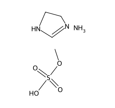 C1=NCCN1.COS(=O)(=O)O.N